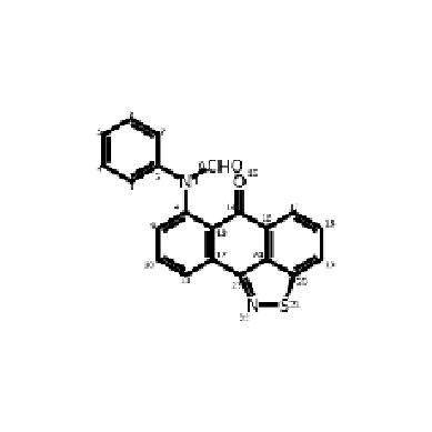 O=CN(c1ccccc1)c1cccc2c1C(=O)c1cccc3snc-2c13